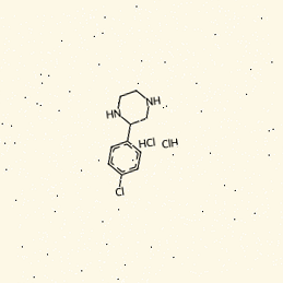 Cl.Cl.Clc1ccc(C2CNCCN2)cc1